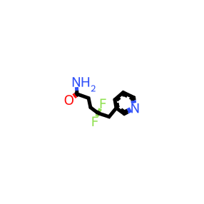 NC(=O)CCC(F)(F)Cc1cccnc1